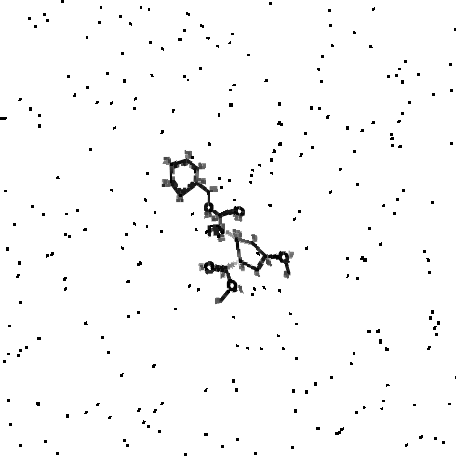 COC(=O)[C@H]1C[C@H](OC)C[C@H]1NC(=O)OCc1ccccc1